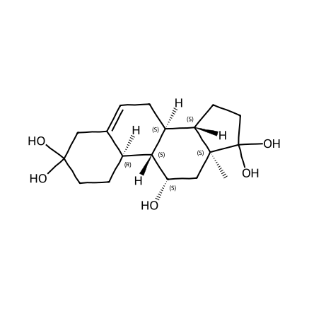 C[C@]12C[C@H](O)[C@H]3[C@@H](CC=C4CC(O)(O)CC[C@@H]43)[C@@H]1CCC2(O)O